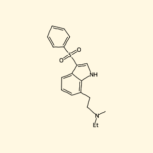 CCN(C)CCc1cccc2c(S(=O)(=O)c3ccccc3)c[nH]c12